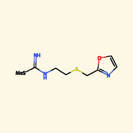 CSC(=N)NCCSCc1ncco1